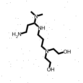 CN(C)C(CCN)NCCCN(CCO)CCO